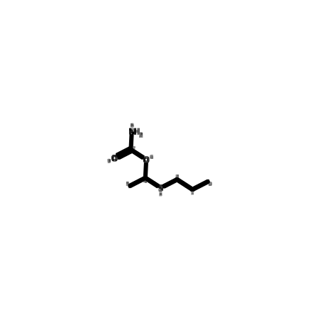 CCCSC(C)OC(N)=O